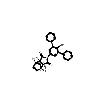 O=C1[C@@H]2[C@H](C(=O)N1c1cc(-c3ccccc3)c(O)c(-c3ccccc3)c1)[C@@H]1C=C[C@H]2C1